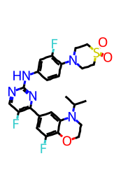 CC(C)N1CCOc2c(F)cc(-c3nc(Nc4ccc(N5CCS(=O)(=O)CC5)c(F)c4)ncc3F)cc21